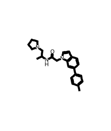 Cc1ccc(-c2ccc3ccn(CC(=O)NC(C)CN4CCCC4)c3c2)cc1